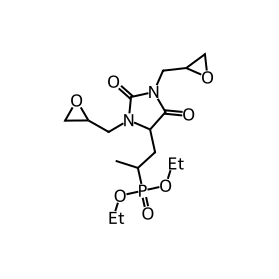 CCOP(=O)(OCC)C(C)CC1C(=O)N(CC2CO2)C(=O)N1CC1CO1